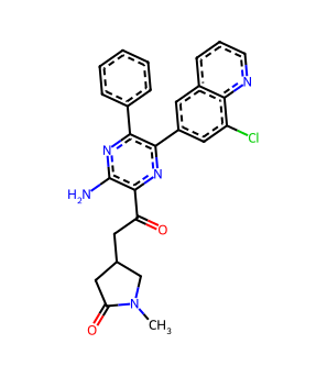 CN1CC(CC(=O)c2nc(-c3cc(Cl)c4ncccc4c3)c(-c3ccccc3)nc2N)CC1=O